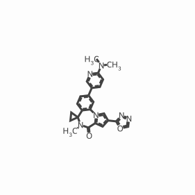 CN(C)c1ccc(-c2ccc3c(c2)-n2cc(-c4nnco4)cc2C(=O)N(C)C32CC2)cn1